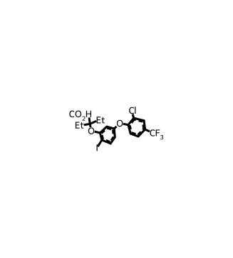 CCC(CC)(Oc1cc(Oc2ccc(C(F)(F)F)cc2Cl)ccc1I)C(=O)O